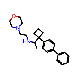 CC(NCCN1CCOCC1)C1(c2ccc(-c3ccccc3)cc2)CCC1